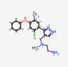 CN(CCN)Cc1c[nH]nc1-c1cc(C(F)(F)F)c(Oc2ccccc2)cc1F